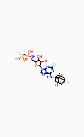 C[C@]12C[C@@H]3C[C@](C)(C1)C[C@@](Nc1nc(Cl)nc4c1ncn4C1OC(CNP(=O)(O)CS(=O)(=O)O)C(O)C1O)(C3)C2